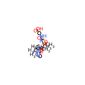 CC(=O)O[C@H](C[C@H](C(C)C)N(C)C(=O)[C@@H](NC(=O)[C@H]1CCCCN1C)C(C)C)c1nc(C(=O)NC2CCC(C(=O)O)CC2)cs1